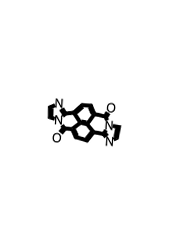 O=c1c2ccc3c4c(ccc(c24)c2nccn12)c(=O)n1ccnc31